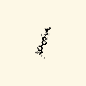 Cc1cc2cc(-c3ccn4nc(NC(=O)[C@@H]5C[C@@H]5F)cc4c3)cnc2[nH]1